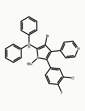 CC(C)(C)n1c(-c2ccc(F)c(Cl)c2)c(-c2ccncc2)c(Br)c1[SiH](c1ccccc1)c1ccccc1